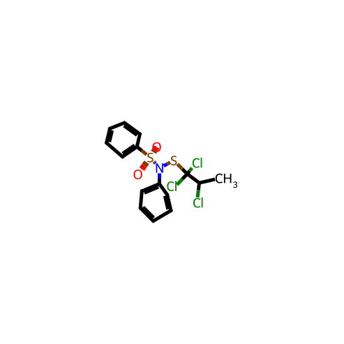 CC(Cl)C(Cl)(Cl)SN(c1ccccc1)S(=O)(=O)c1ccccc1